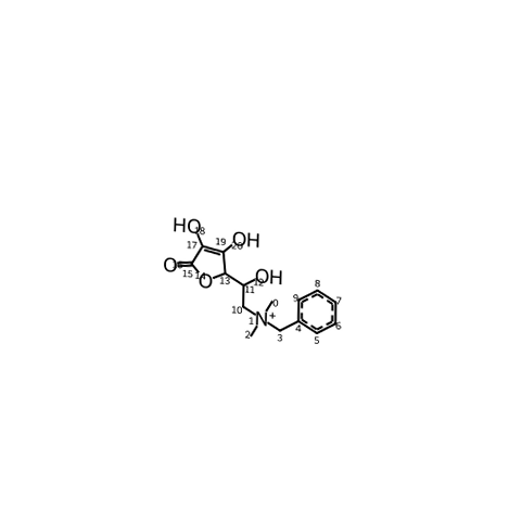 C[N+](C)(Cc1ccccc1)CC(O)C1OC(=O)C(O)=C1O